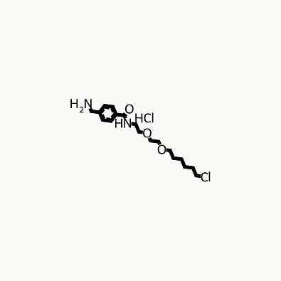 Cl.NCc1ccc(C(=O)NCCOCCOCCCCCCCl)cc1